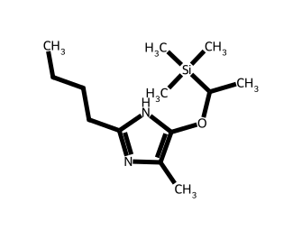 CCCCc1nc(C)c(OC(C)[Si](C)(C)C)[nH]1